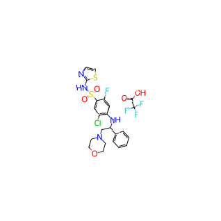 O=C(O)C(F)(F)F.O=S(=O)(Nc1nccs1)c1cc(Cl)c(NC(CN2CCOCC2)c2ccccc2)cc1F